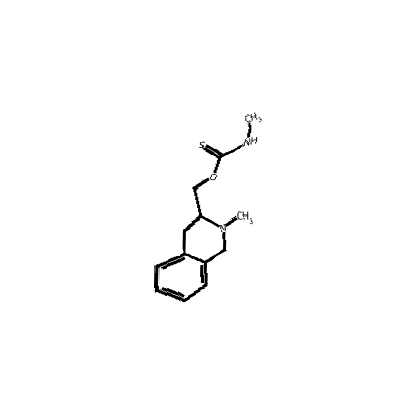 CNC(=S)OCC1Cc2ccccc2CN1C